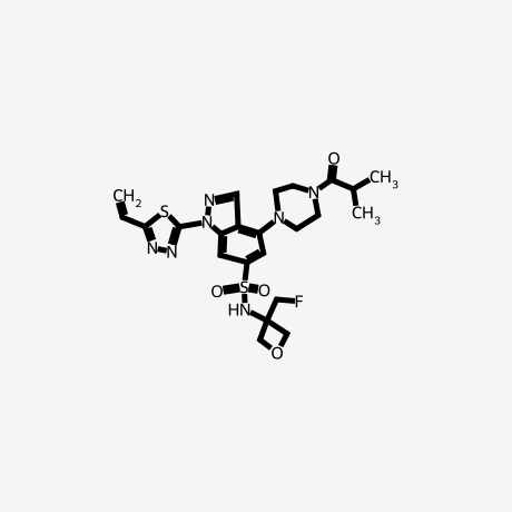 C=Cc1nnc(-n2ncc3c(N4CCN(C(=O)C(C)C)CC4)cc(S(=O)(=O)NC4(CF)COC4)cc32)s1